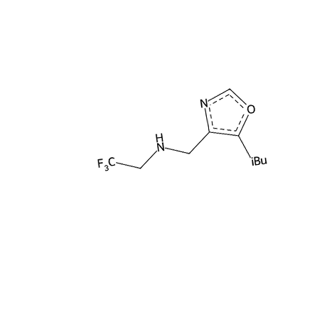 CCC(C)c1ocnc1CNCC(F)(F)F